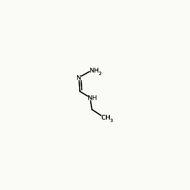 CCN/C=N\N